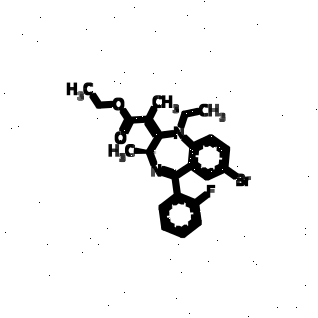 CCOC(=O)/C(C)=C1\[C@H](C)N=C(c2ccccc2F)c2cc(Br)ccc2N1CC